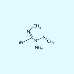 C=NN(N)/C(=N\C)C(C)C